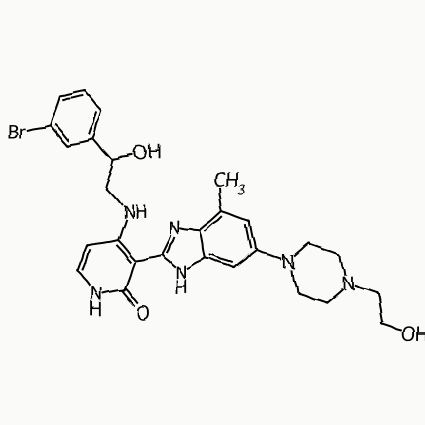 Cc1cc(N2CCN(CCO)CC2)cc2[nH]c(-c3c(NCC(O)c4cccc(Br)c4)cc[nH]c3=O)nc12